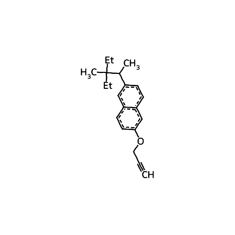 C#CCOc1ccc2cc(C(C)C(C)(CC)CC)ccc2c1